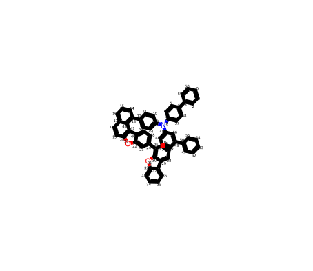 c1ccc(-c2ccc(N(c3ccc(-c4cccc5ccc6oc7cc(-c8cccc9c8oc8ccccc89)ccc7c6c45)cc3)c3cccc(-c4ccccc4)c3)cc2)cc1